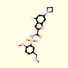 COCc1ccc(OC)c(S(=O)(=O)NC(=O)c2cc3c(F)cc(N4CCC4)cc3o2)c1